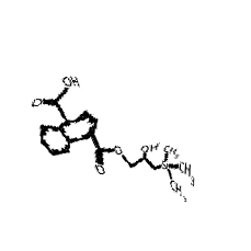 C[Si](C)(C)CC(O)COC(=O)c1ccc(C(=O)O)c2ccccc12